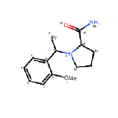 COc1ccccc1C(C(C)C)N1CCCC1C(N)=O